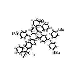 CC(C)(C)c1ccc(N(c2ccc(C(C)(C)C)cc2)c2ccc3c(c2)N(c2cccc4oc5ccccc5c24)c2cccc4c2B3c2sc3cc5c(cc3c2N4c2ccc(C(C)(C)C)cc2)-c2ccccc2C5(C)C)cc1